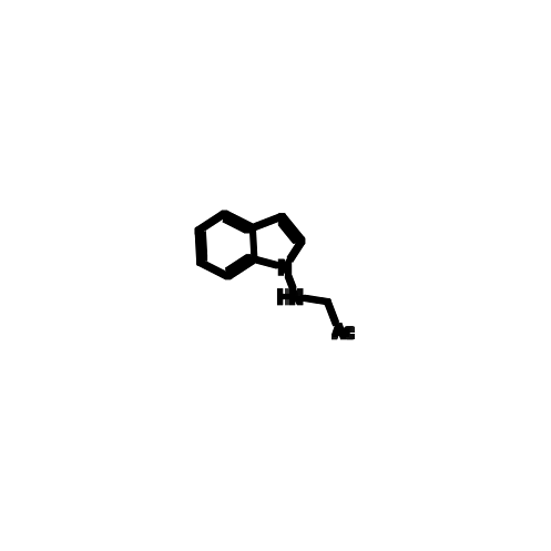 CC(=O)CNn1ccc2ccccc21